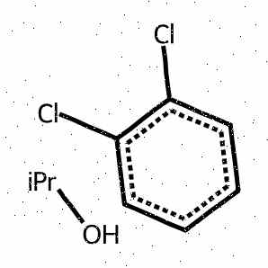 CC(C)O.Clc1ccccc1Cl